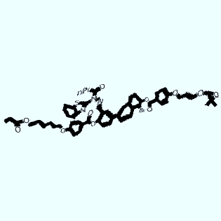 C=CC(=O)OCCCCCCOc1ccc(C(=O)Oc2ccc(-c3ccc4c(Br)c(OC(=O)c5ccc(OCCCOC6OC6(C)C)cc5)ccc4c3)cc2/C=N/N(C(=O)CCC)c2nc3ccccc3s2)cc1